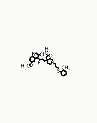 COc1ccc2ncc(Cl)c([C@H](F)CCC3(CC(=O)O)CCN(CCCSc4ccccc4C)CC3)c2c1